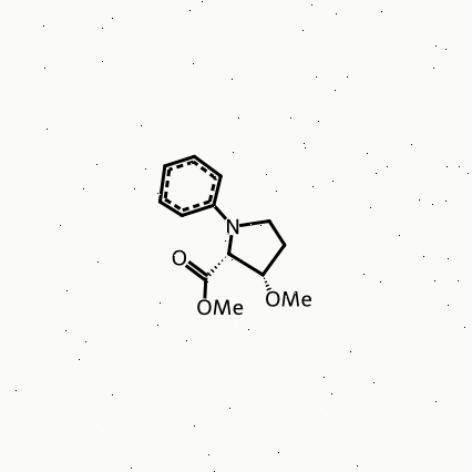 COC(=O)[C@H]1[C@@H](OC)CCN1c1ccccc1